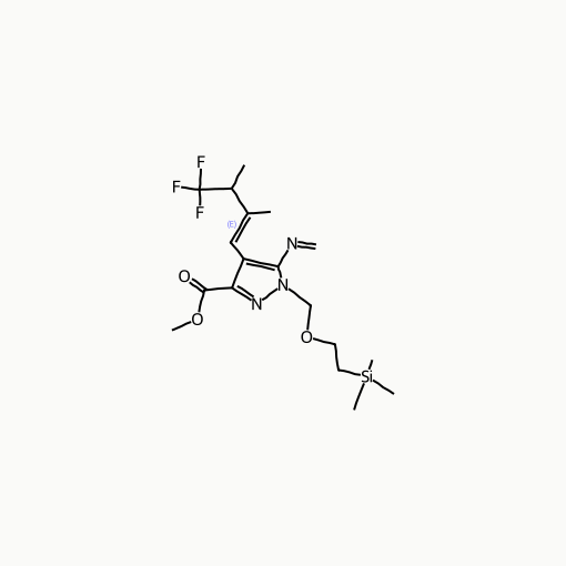 C=Nc1c(/C=C(\C)C(C)C(F)(F)F)c(C(=O)OC)nn1COCC[Si](C)(C)C